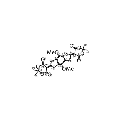 COc1c2c(c(OC)c3c1SC(=C1C(=O)OC(C)(C)OC1=O)S3)SC(=C1C(=O)OC(C)(C)OC1=O)S2